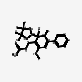 COC1=C(COC(N)=O)C(F)(B2OC(C)(C)C(C)(C)O2)C(C)C(c2ccccc2)=C1